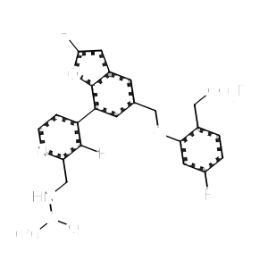 CCOC(=O)Cc1ccc(F)cc1OCc1cc(-c2ccnc(CN[S+]([O-])C(C)(C)C)c2F)c2oc(F)cc2c1